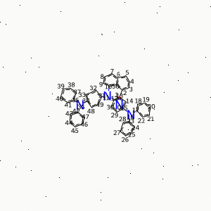 N#Cc1cccc2cccc(N(c3ccc(N(c4ccccc4)c4ccccc4)cc3)c3ccc(N(c4ccccc4)c4ccccc4)cc3)c12